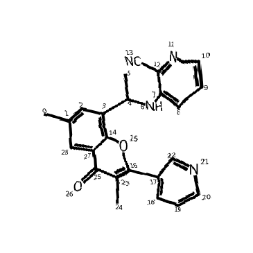 Cc1cc(C(C)Nc2cccnc2C#N)c2oc(-c3cccnc3)c(C)c(=O)c2c1